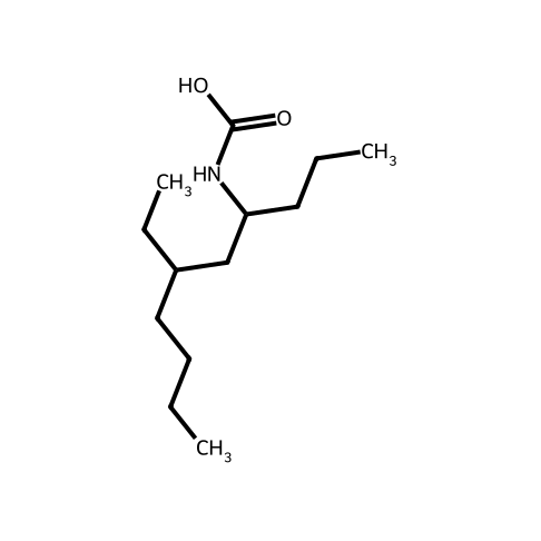 CCCCC(CC)CC(CCC)NC(=O)O